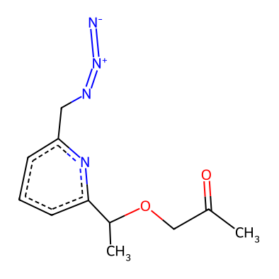 CC(=O)COC(C)c1cccc(CN=[N+]=[N-])n1